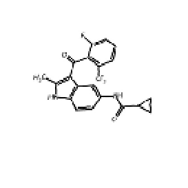 Cc1[nH]c2ccc(NC(=O)C3CC3)cc2c1C(=O)c1c(F)cccc1C(F)(F)F